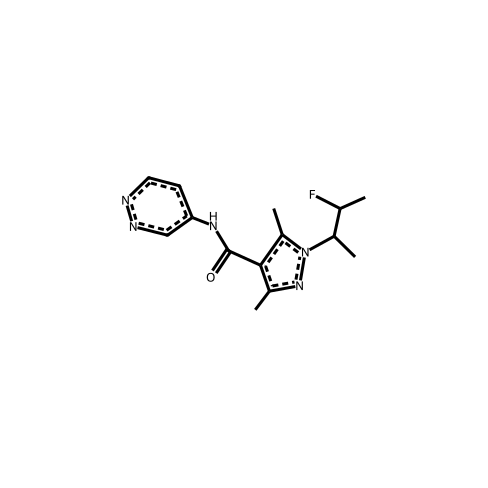 Cc1nn(C(C)C(C)F)c(C)c1C(=O)Nc1ccnnc1